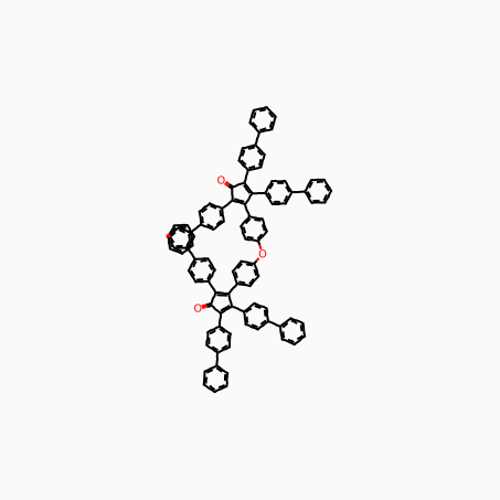 O=C1C(c2ccc(-c3ccccc3)cc2)=C(c2ccc(Oc3ccc(C4=C(c5ccc(-c6ccccc6)cc5)C(=O)C(c5ccc(-c6ccccc6)cc5)=C4c4ccc(-c5ccccc5)cc4)cc3)cc2)C(c2ccc(-c3ccccc3)cc2)=C1c1ccc(-c2ccccc2)cc1